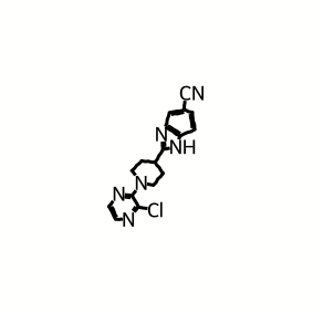 N#Cc1ccc2[nH]c(C3CCN(c4nccnc4Cl)CC3)nc2c1